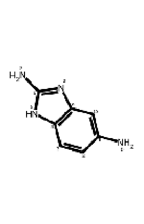 Nc1ccc2[nH]c(N)nc2c1